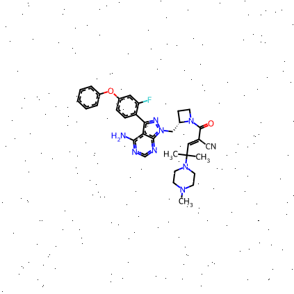 CN1CCN(C(C)(C)C=C(C#N)C(=O)N2CC[C@H]2Cn2nc(-c3ccc(Oc4ccccc4)cc3F)c3c(N)ncnc32)CC1